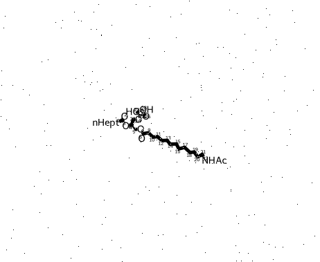 CCCCCCCC(=O)O[C@H](COC(=O)CCCCCCCCCCCCCNC(C)=O)COP(=O)(O)O